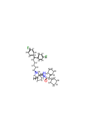 O=C(N[C@@H]1CC[C@H]2CN(CCCCCC(c3ccc(F)cc3)c3ccc(F)cc3)C[C@H]21)C(C1CCCCC1)C1CCCCC1